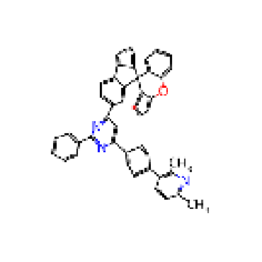 Cc1ccc(-c2ccc(-c3cc(-c4ccc5c(c4)C4(c6ccccc6Oc6ccccc64)c4ccccc4-5)nc(-c4ccccc4)n3)cc2)c(C)n1